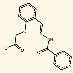 O=C(O)COc1ccccc1/C=N/NC(=O)c1ccncc1